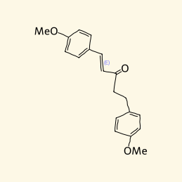 COc1ccc(/C=C/C(=O)CCc2ccc(OC)cc2)cc1